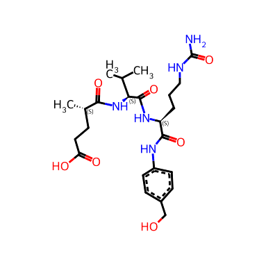 CC(C)[C@H](NC(=O)[C@@H](C)CCC(=O)O)C(=O)N[C@@H](CCCNC(N)=O)C(=O)Nc1ccc(CO)cc1